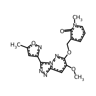 COc1cc2nnc(-c3cc(C)on3)n2nc1OCc1cccn(C)c1=O